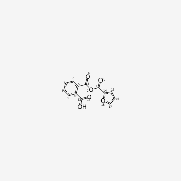 O=C(OC(=O)c1ccccc1C(=O)O)c1ccco1